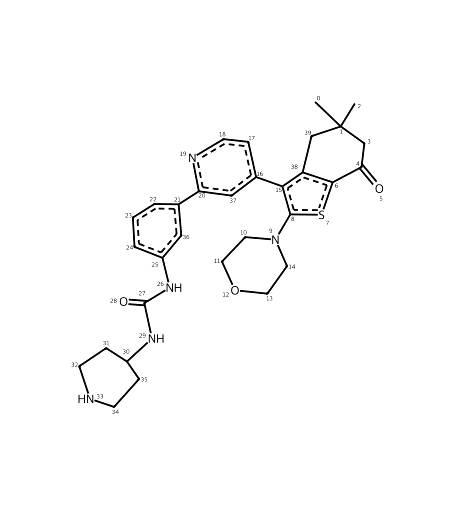 CC1(C)CC(=O)c2sc(N3CCOCC3)c(-c3ccnc(-c4cccc(NC(=O)NC5CCNCC5)c4)c3)c2C1